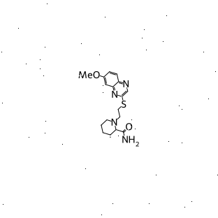 COc1ccc2ncc(SCCN3CCC[CH]C3C(N)=O)nc2c1